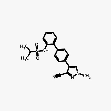 CC(C)S(=O)(=O)Nc1ccccc1-c1ccc(-c2cn(C)nc2C#N)cc1